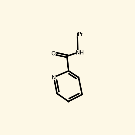 CC(C)NC(=O)c1cc[c]cn1